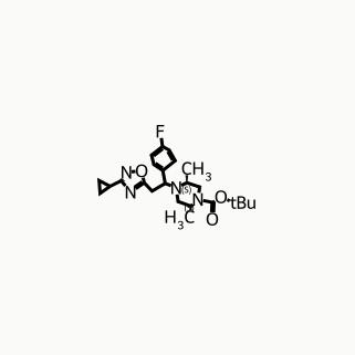 C[C@H]1CN(C(Cc2nc(C3CC3)no2)c2ccc(F)cc2)[C@@H](C)CN1C(=O)OC(C)(C)C